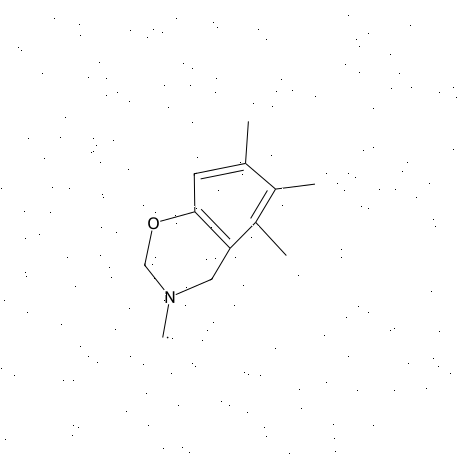 [CH2]N1COc2cc(C)c(C)c(C)c2C1